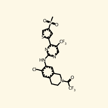 CS(=O)(=O)c1csc(-c2nc(Nc3cc4c(cc3Cl)CCN(C(=O)C(F)(F)F)C4)ncc2C(F)(F)F)c1